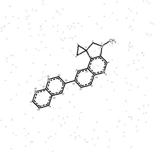 CN1CC2(CC2)c2c1cnc1ccc(-c3cnc4ncccc4c3)cc21